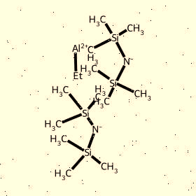 C[CH2][Al+2].C[Si](C)(C)[N-][Si](C)(C)C.C[Si](C)(C)[N-][Si](C)(C)C